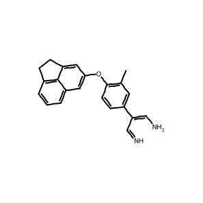 Cc1cc(/C(C=N)=C/N)ccc1Oc1cc2c3c(cccc3c1)CC2